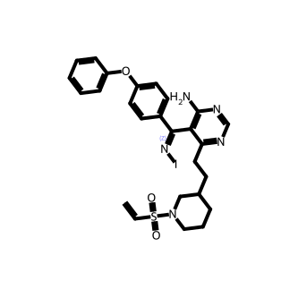 C=CS(=O)(=O)N1CCCC(CCc2ncnc(N)c2/C(=N\I)c2ccc(Oc3ccccc3)cc2)C1